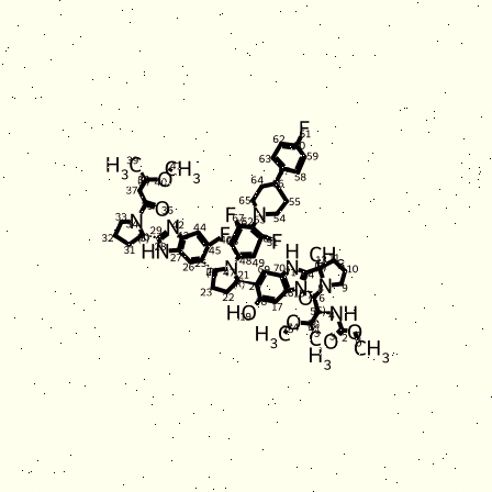 COC(=O)N[C@H](C(=O)N1CCC[C@]1(C)c1nc2cc(O)c([C@H]3CC[C@H](c4cc5[nH]c([C@@H]6CCCN6C(=O)C[C@@H](C)OC)nc5cc4F)N3c3cc(F)c(N4CCC(c5ccc(F)cc5)CC4)c(F)c3)cc2[nH]1)[C@@H](C)OC